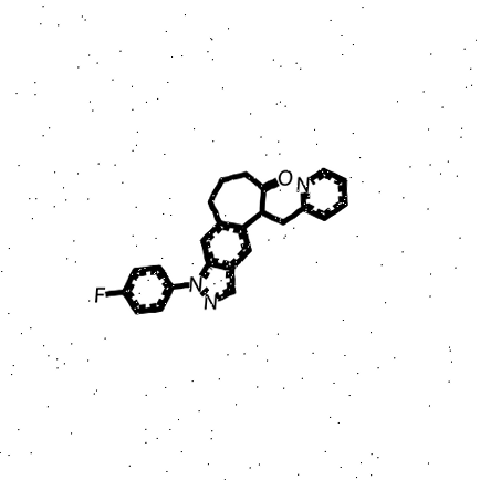 O=C1CCCc2cc3c(cnn3-c3ccc(F)cc3)cc2C1Cc1ccccn1